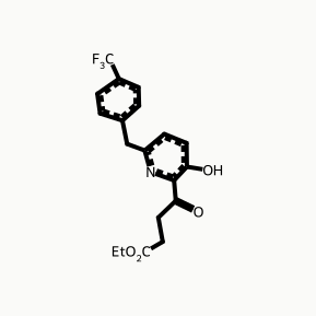 CCOC(=O)CCC(=O)c1nc(Cc2ccc(C(F)(F)F)cc2)ccc1O